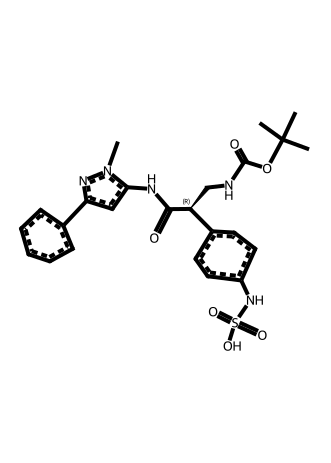 Cn1nc(-c2ccccc2)cc1NC(=O)[C@@H](CNC(=O)OC(C)(C)C)c1ccc(NS(=O)(=O)O)cc1